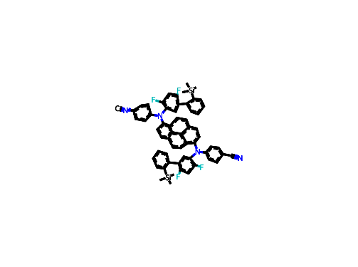 [C-]#[N+]c1ccc(N(c2cc(-c3ccccc3[Si](C)(C)C)c(F)cc2F)c2ccc3ccc4c(N(c5ccc(C#N)cc5)c5cc(-c6ccccc6[Si](C)(C)C)c(F)cc5F)ccc5ccc2c3c54)cc1